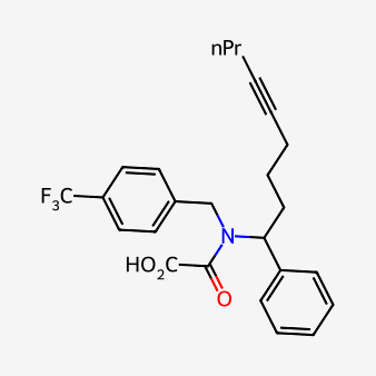 CCCC#CCCCC(c1ccccc1)N(Cc1ccc(C(F)(F)F)cc1)C(=O)C(=O)O